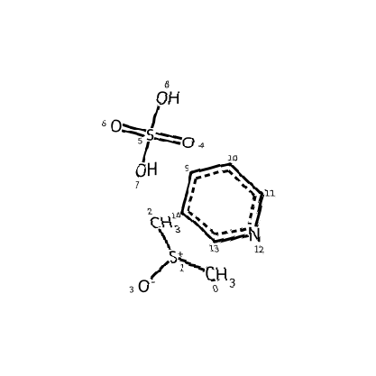 C[S+](C)[O-].O=S(=O)(O)O.c1ccncc1